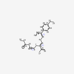 C=N/C(=C\C/C=C(\C/C=N\CC(=O)CC)C(=C)C)c1ccc(CC)cc1